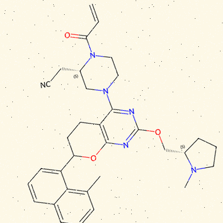 C=CC(=O)N1CCN(c2nc(OC[C@@H]3CCCN3C)nc3c2CCC(c2cccc4cccc(C)c24)O3)C[C@@H]1CC#N